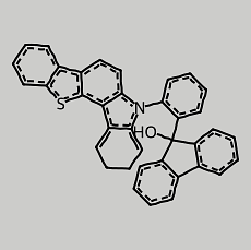 OC1(c2ccccc2-n2c3c(c4c5sc6ccccc6c5ccc42)=CCCC=3)c2ccccc2-c2ccccc21